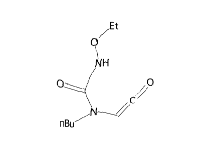 CCCCN(C=C=O)C(=O)NOCC